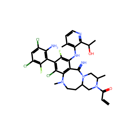 C=CC(=O)N1CC2CCN(C)c3c(Cl)c(-c4c(N)c(Cl)cc(Cl)c4F)c(F)c(Nc4c(C)ccnc4C(C)O)c3C(=N)N2CC1C